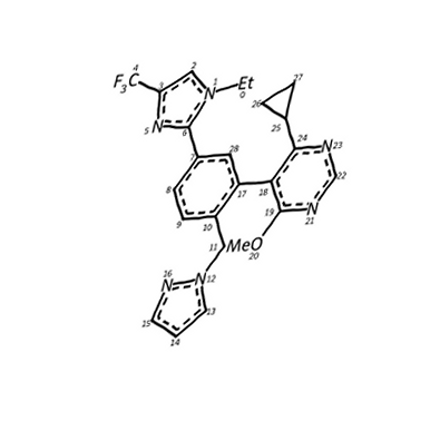 CCn1cc(C(F)(F)F)nc1-c1ccc(Cn2cccn2)c(-c2c(OC)ncnc2C2CC2)c1